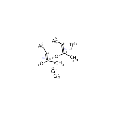 CC(=O)/C=C(/C)[O-].CC(=O)/C=C(/C)[O-].[Cl-].[Cl-].[Ti+4]